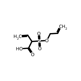 C=CCOS(=O)(=O)C(C=C)C(=O)O